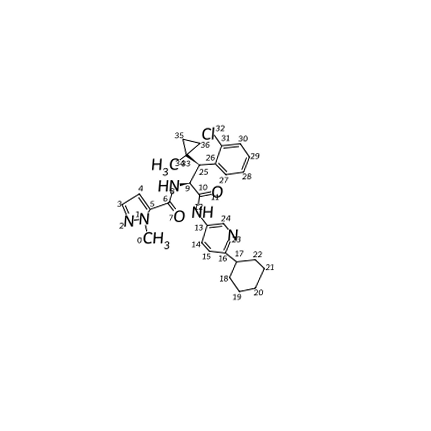 Cn1nccc1C(=O)N[C@H](C(=O)Nc1ccc(C2CCCCC2)nc1)[C@H](c1ccccc1Cl)C1(C)CC1